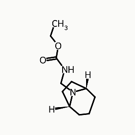 CCOC(=O)NCN1[C@@H]2CCC[C@H]1CC2